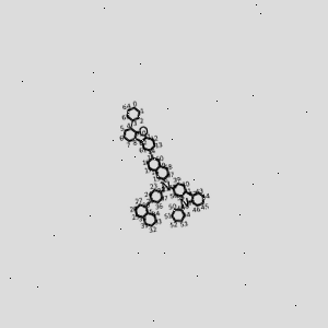 c1ccc(-c2cccc3c2oc2ccc(-c4ccc5cc(N(c6ccc(-c7cccc8ccccc78)cc6)c6ccc7c8ccccc8n(-c8ccccc8)c7c6)ccc5c4)cc23)cc1